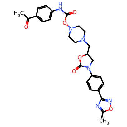 CC(=O)c1ccc(NC(=O)ON2CCN(CC3CN(c4ccc(-c5noc(C)n5)cc4)C(=O)O3)CC2)cc1